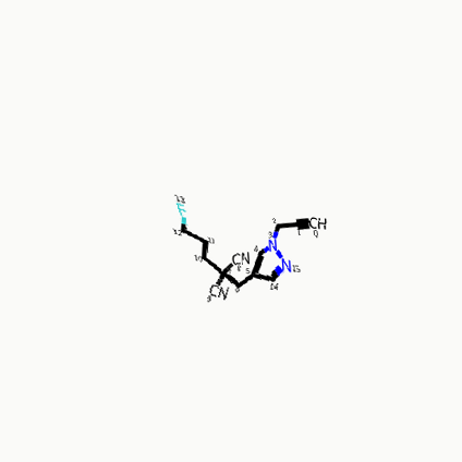 C#CCn1cc(CC(C#N)(C#N)CCCF)cn1